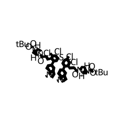 Cn1ccc2cc(-c3cc(Sc4cc(-c5ccc6c(ccn6C)c5)c(/C=C/C(=O)N5C[C@@H]6C[C@H]5CN6C(=O)OC(C)(C)C)c(Cl)c4Cl)c(Cl)c(Cl)c3/C=C/C(=O)N3C[C@@H]4C[C@H]3CN4C(=O)OC(C)(C)C)ccc21